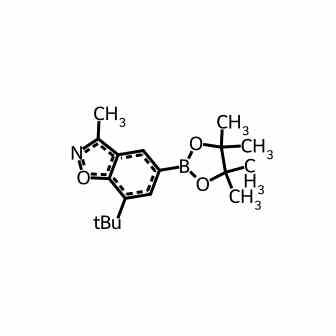 Cc1noc2c(C(C)(C)C)cc(B3OC(C)(C)C(C)(C)O3)cc12